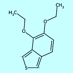 CCOc1ccc2[c]s[c]c2c1OCC